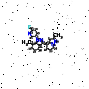 Cc1cc2c(-c3nn(-c4ccc(F)nc4)c4c(C)cccc34)cccn2n1